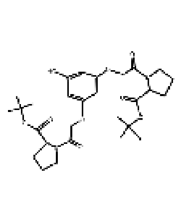 CC(C)(C)OC(=O)C1CCCN1C(=O)COc1cc(O)cc(OCC(=O)N2CCCC2C(=O)OC(C)(C)C)c1